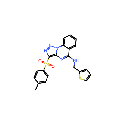 Cc1ccc(S(=O)(=O)c2nnn3c2nc(NCc2cccs2)c2ccccc23)cc1